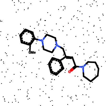 COc1ccccc1N1CCN(CC(=CC(=O)N2CCCCCC2)c2ccccc2)CC1